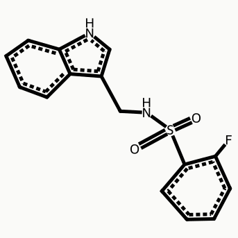 O=S(=O)(NCc1c[nH]c2ccccc12)c1ccccc1F